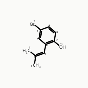 CC(C)=Cc1cc(Br)ccc1O